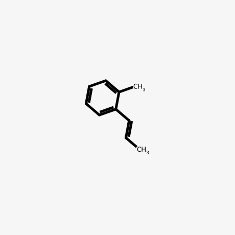 CC=Cc1ccccc1C